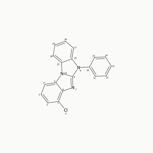 Clc1cccc2c1nc1n(-c3ccccc3)c3ccccc3n21